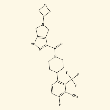 Cc1c(F)ccc(C2CCN(C(=O)c3n[nH]c4c3CN(C3COC3)C4)CC2)c1C(F)(F)F